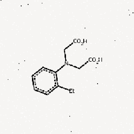 CCc1ccccc1N(CC(=O)O)CC(=O)O